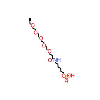 C#CCOCCOCCOCCOCCOCCC(=O)NCCCCCCO[PH](=O)O